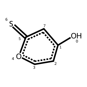 Oc1ccoc(=S)c1